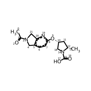 CC(=O)N1Cc2ccc(O[C@@H]3C[C@H](C)N(C(=O)O)C3)nc2C1